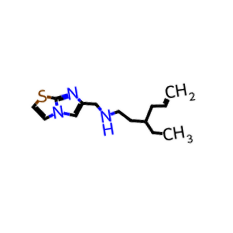 C=CCC(CC)CCNCc1cn2ccsc2n1